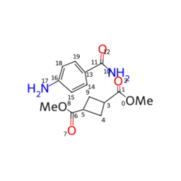 COC(=O)C1CC(C(=O)OC)C1.NC(=O)c1ccc(N)cc1